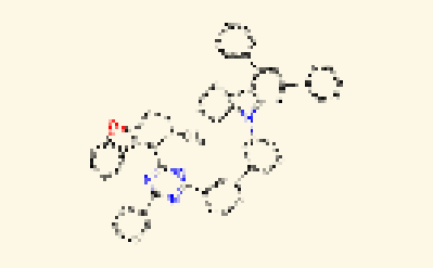 CC1CC=c2oc3ccccc3c2=C1c1nc(-c2ccccc2)nc(-c2cccc(-c3cccc(-n4c5ccccc5c5c(-c6ccccc6)cc(-c6ccccc6)cc54)c3)c2)n1